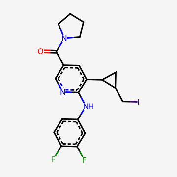 O=C(c1cnc(Nc2ccc(F)c(F)c2)c(C2CC2CI)c1)N1CCCC1